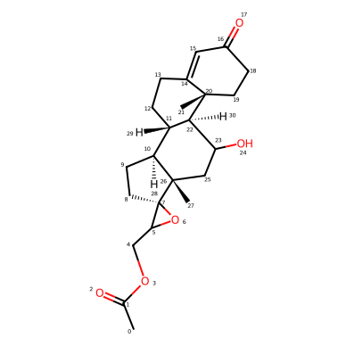 CC(=O)OCC1O[C@@]12CC[C@H]1[C@@H]3CCC4=CC(=O)CC[C@]4(C)[C@H]3C(O)C[C@@]12C